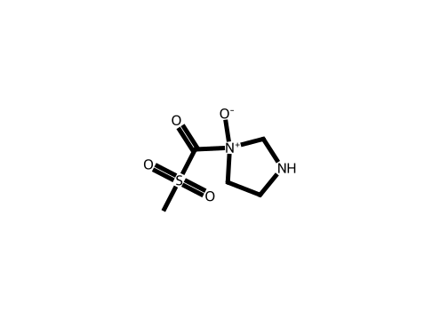 CS(=O)(=O)C(=O)[N+]1([O-])CCNC1